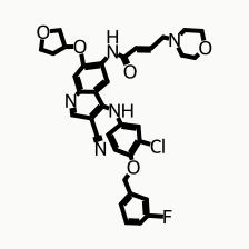 N#Cc1cnc2cc(OC3CCOC3)c(NC(=O)C=CCN3CCOCC3)cc2c1Nc1ccc(OCc2cccc(F)c2)c(Cl)c1